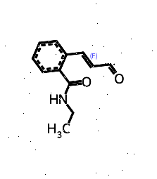 CCNC(=O)c1ccccc1/C=C/[C]=O